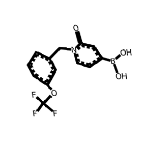 O=c1cc(B(O)O)ccn1Cc1cccc(OC(F)(F)F)c1